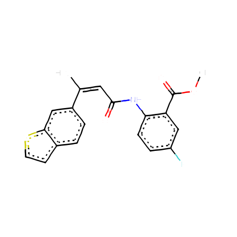 COC(=O)c1cc(F)ccc1NC(=O)/C=C(/C)c1ccc2ccsc2c1